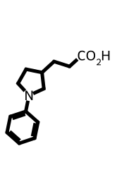 O=C(O)CCC1CCN(c2ccccc2)C1